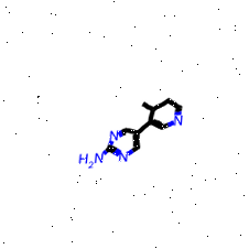 CC1CC=NC=C1c1cnc(N)nc1